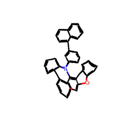 c1ccc(-c2ccccc2N(c2cccc(-c3cccc4ccccc34)c2)c2cccc3oc4ccccc4c23)cc1